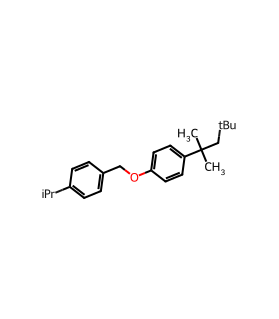 CC(C)c1ccc(COc2ccc(C(C)(C)CC(C)(C)C)cc2)cc1